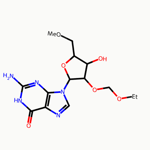 CCOCOC1C(O)C(COC)OC1n1cnc2c(=O)[nH]c(N)nc21